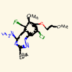 COCCOc1c(OC)c(F)c2c(N)nc(C(C)(C)C)nc2c1Cl